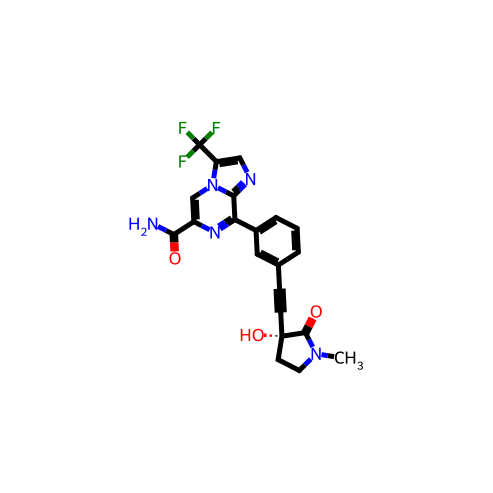 CN1CC[C@@](O)(C#Cc2cccc(-c3nc(C(N)=O)cn4c(C(F)(F)F)cnc34)c2)C1=O